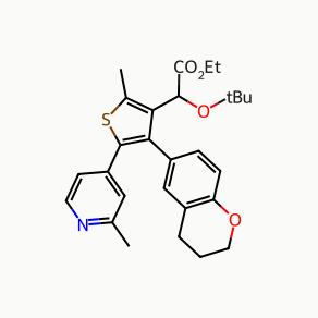 CCOC(=O)C(OC(C)(C)C)c1c(C)sc(-c2ccnc(C)c2)c1-c1ccc2c(c1)CCCO2